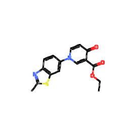 CCOC(=O)c1cn(-c2ccc3nc(C)sc3c2)ccc1=O